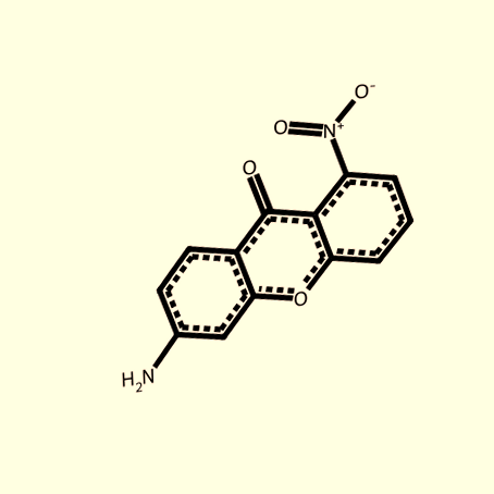 Nc1ccc2c(=O)c3c([N+](=O)[O-])cccc3oc2c1